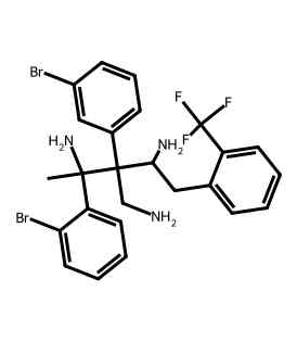 CC(N)(c1ccccc1Br)C(CN)(c1cccc(Br)c1)C(N)Cc1ccccc1C(F)(F)F